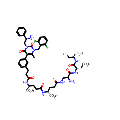 Cc1c(-c2cccc(CCC(=O)N[C@@H](CCC(=O)N[C@H](CCC(=O)NCC(N)C(=O)N[C@@H](CC(=O)O)C(=O)N[C@@H](CS)C(=O)O)C(=O)O)C(=O)O)c2)c(=O)n(C[C@H](N)c2ccccc2)c(=O)n1Cc1c(F)cccc1F